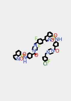 O=C(c1ccc(NS(=O)(=O)c2cccc3cc(-c4cc(F)c(CN5CCN(C(=O)c6ccc(NS(=O)(=O)c7cccc8cccnc78)cc6)CC5)c(F)c4)cnc23)cc1)N1CCN(Cc2ccc(Cl)c(F)c2)CC1